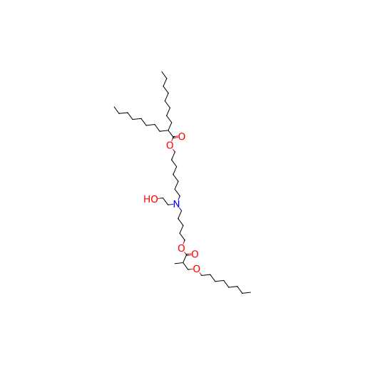 CCCCCCCCOCC(C)C(=O)OCCCCCN(CCO)CCCCCCCOC(=O)C(CCCCCCCC)CCCCCCCC